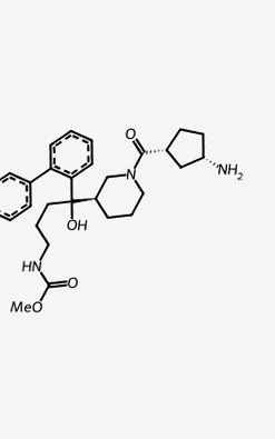 COC(=O)NCCCC(O)(c1ccccc1-c1ccncc1)[C@@H]1CCCN(C(=O)[C@@H]2CC[C@H](N)C2)C1